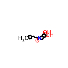 Cc1ccc(CCCC(=O)N2CCc3cc(O)c(O)cc3C2)cc1